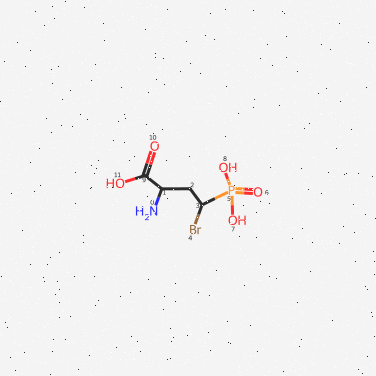 NC(CC(Br)P(=O)(O)O)C(=O)O